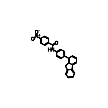 O=C(Nc1ccc(-c2cccc3c2Cc2ccccc2-3)cc1)c1ccc([N+](=O)[O-])cc1